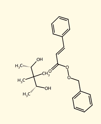 C[C@H](O)C(C)(C)[C@@H](C)O.O=C(C=Cc1ccccc1)OOCc1ccccc1